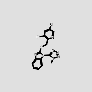 Cn1nnnc1-n1c(SCc2ncc(Cl)cc2Cl)nc2ccccc21